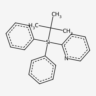 CC(C)(C)[Si](c1ccccc1)(c1ccccc1)c1ccccn1